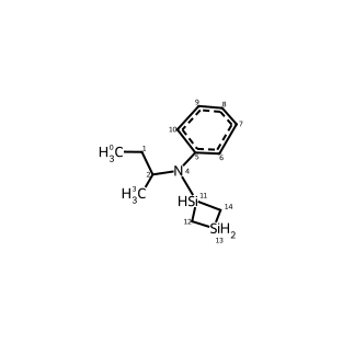 CCC(C)N(c1ccccc1)[SiH]1C[SiH2]C1